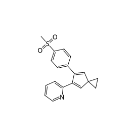 CS(=O)(=O)c1ccc(C2=CC3(C=C2c2ccccn2)CC3)cc1